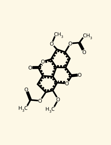 COc1c(OC(C)=O)cc2c(=O)oc3c(OC)c(OC(C)=O)cc4c(=O)oc1c2c34